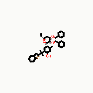 CC[C@@H]1C[C@H](OCc2ccccc2)[C@@H](OCc2ccccc2)[C@H](c2cc(C(C)(C)c3cc4ccccc4s3)c(O)cc2C)O1